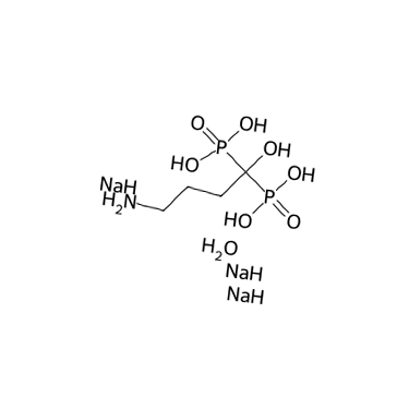 NCCCC(O)(P(=O)(O)O)P(=O)(O)O.O.[NaH].[NaH].[NaH]